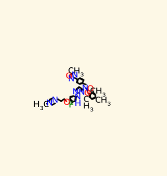 Cc1cc(C)c(OC(=O)N(Cc2ccc(-c3noc(C)n3)cc2)c2ccnc(Nc3ccc(OCCCN4CCN(C)CC4)c(F)c3)n2)c(C)c1